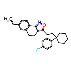 C=Cc1ccc2c(c1)CCc1c-2noc1CCC1(c2ccc(F)cc2)CCCCC1